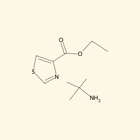 CC(C)(C)N.CCOC(=O)c1cscn1